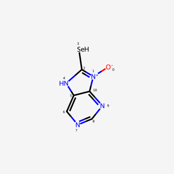 [O-][n+]1c([SeH])[nH]c2cncnc21